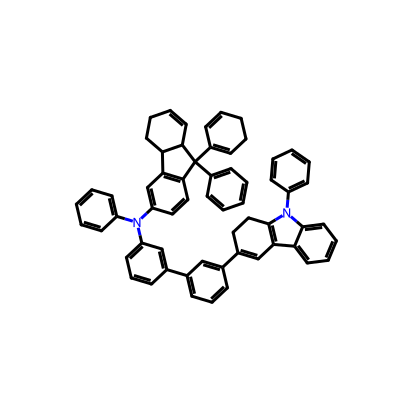 C1=CC(C2(c3ccccc3)c3ccc(N(c4ccccc4)c4cccc(-c5cccc(C6=Cc7c(n(-c8ccccc8)c8ccccc78)CC6)c5)c4)cc3C3CCC=CC32)=CCC1